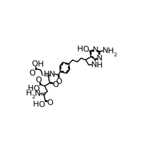 Nc1nc(O)c2c(n1)NCC2CCCc1ccc(C(=O)N[C@@H](CCC(=O)O)C(=O)C(C[C@H](N)C(=O)O)C(=O)O)cc1